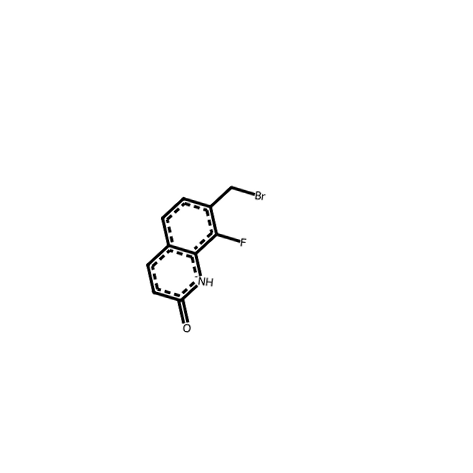 O=c1ccc2ccc(CBr)c(F)c2[nH]1